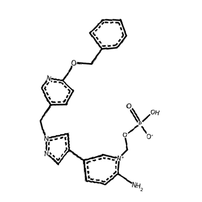 Nc1ccc(-c2cnn(Cc3ccc(OCc4ccccc4)nc3)c2)c[n+]1COP(=O)([O-])O